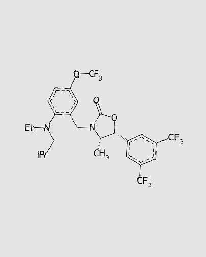 CCN(CC(C)C)c1ccc(OC(F)(F)F)cc1CN1C(=O)O[C@H](c2cc(C(F)(F)F)cc(C(F)(F)F)c2)[C@@H]1C